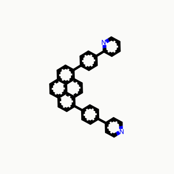 c1ccc(-c2ccc(-c3ccc4ccc5ccc(-c6ccc(-c7ccncc7)cc6)c6ccc3c4c56)cc2)nc1